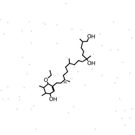 CCOC1C(CC[C@H](C)CCCC(C)CCCC(C)(O)CCCC(C)CO)=CC(O)C(C)C1C